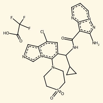 Nc1nn2cccnc2c1C(=O)NC(c1cc(Cl)c2cncn2c1N1CCS(=O)(=O)CC1)C1CC1.O=C(O)C(F)(F)F